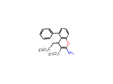 CCOC(=O)CC1C(C(=O)OCC)=C(N)Oc2cccc(-c3ccccc3)c21